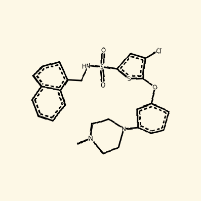 CN1CCN(c2cccc(Oc3sc(S(=O)(=O)NCc4cccc5ccccc45)cc3Cl)c2)CC1